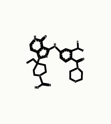 CCC1(n2nc(Nc3ccc(C(=O)N4CCSCC4)c(C(F)F)c3)c3c(=O)[nH]ccc32)CCN(C(=O)O)CC1